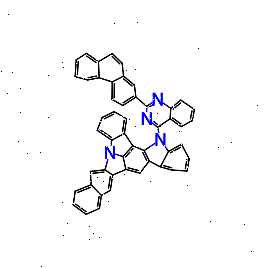 c1ccc2cc3c(cc2c1)c1cc2c4ccccc4n(-c4nc(-c5ccc6c(ccc7ccccc76)c5)nc5ccccc45)c2c2c4ccccc4n3c12